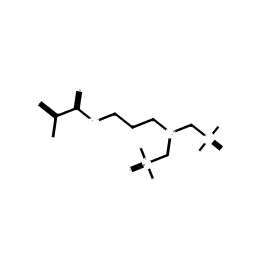 C=C(C)C(=O)NCCCN(CP(=O)(O)O)CP(=O)(O)O